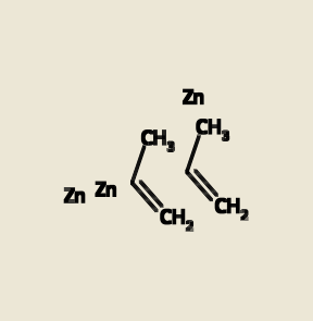 C=CC.C=CC.[Zn].[Zn].[Zn]